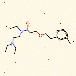 [CH2]CN(CCN(CC)CC)C(=O)CCOCCc1cccc(C)c1